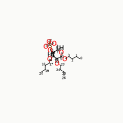 CCCCO[C@@H]1O[C@@H]2COS(=O)(=O)O[C@H]2[C@H](OCCCC)[C@H]1OCCCC